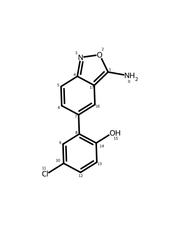 Nc1onc2ccc(-c3cc(Cl)ccc3O)cc12